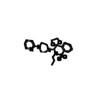 CCCN1C(N2CCN(c3ccccn3)CC2)C2(OCCO2)c2ccccc2S1(=O)=O